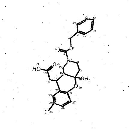 NC12CCN(C(=O)OCc3ccccc3)CC1C(CC(=O)O)c1cc(Cl)ccc1O2